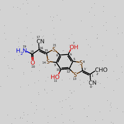 N#CC(C=O)=C1Sc2c(O)c3c(c(O)c2S1)SC(=C(C#N)C(N)=O)S3